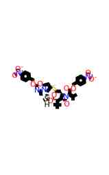 CC(=NC(=O)OCc1ccc([N+](=O)[O-])cc1)N1CC[C@H](SC(=O)C[C@@H]2[C@H]([C@@H](CO[SiH](C)C)C(C)(C)C)C(=O)N2C(C(=O)OCc2ccc([N+](=O)[O-])cc2)=C(C)C)C1